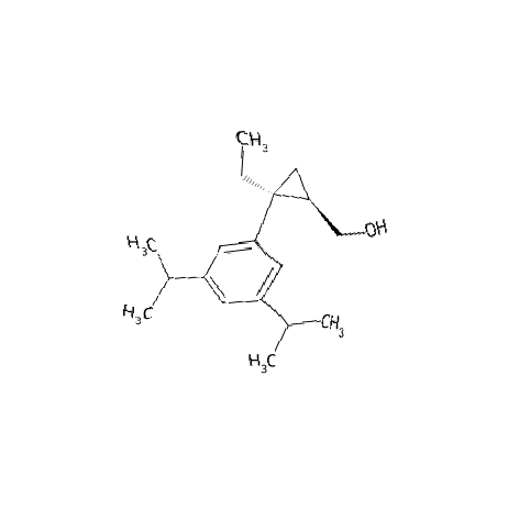 CC[C@]1(c2cc(C(C)C)cc(C(C)C)c2)C[C@H]1CO